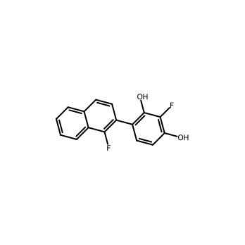 Oc1ccc(-c2ccc3ccccc3c2F)c(O)c1F